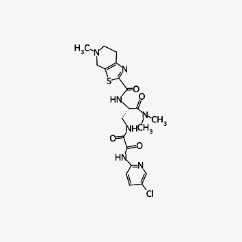 CN1CCc2nc(C(=O)N[C@@H](CNC(=O)C(=O)Nc3ccc(Cl)cn3)C(=O)N(C)C)sc2C1